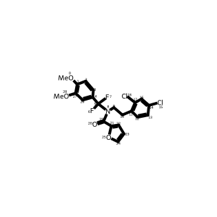 COc1ccc(C(F)(F)N(CCc2ccc(Cl)cc2Cl)C(=O)c2ccco2)cc1OC